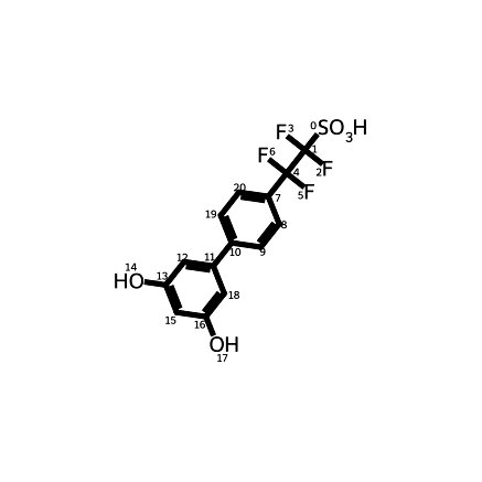 O=S(=O)(O)C(F)(F)C(F)(F)c1ccc(-c2cc(O)cc(O)c2)cc1